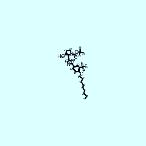 CCCCCCCCCOc1ccc(-c2noc(C3=C(O)CCN3C(=O)OC(C)(C)C)n2)cc1C(F)(F)F